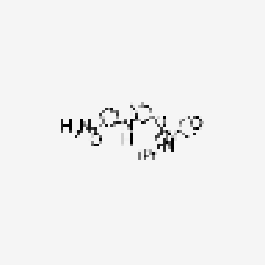 CC(C)c1cc(Oc2ccnc(Nc3cccc(C(N)=O)c3)c2)n(C2CCOCC2)n1